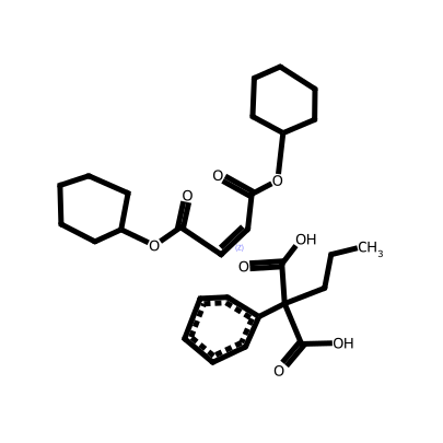 CCCC(C(=O)O)(C(=O)O)c1ccccc1.O=C(/C=C\C(=O)OC1CCCCC1)OC1CCCCC1